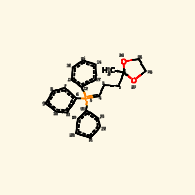 CC1(CCC=P(c2ccccc2)(c2ccccc2)c2ccccc2)OCCO1